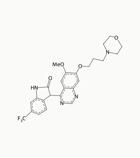 COc1cc2c(C3C(=O)Nc4cc(C(F)(F)F)ccc43)ncnc2cc1OCCCN1CCOCC1